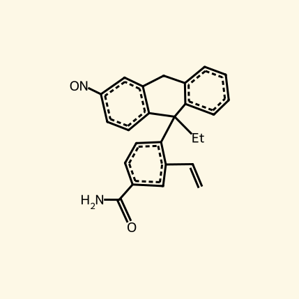 C=Cc1cc(C(N)=O)ccc1C1(CC)c2ccccc2Cc2cc(N=O)ccc21